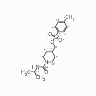 Cc1ccc(S(=O)(=O)OCC2CCN(C(=O)NC(C)C)CC2)cc1